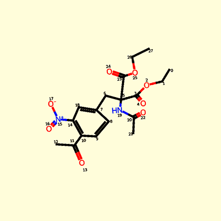 CCOC(=O)C(Cc1ccc(C(C)=O)c([N+](=O)[O-])c1)(NC(C)=O)C(=O)OCC